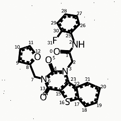 O=C(Cn1c(=O)n(Cc2ccco2)c(=O)c2sc3ccccc3c21)Nc1ccccc1F